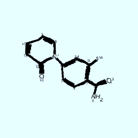 NC(=O)c1c[c]c(-n2ccccc2=O)cc1F